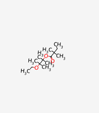 CCOC(C)(C)C(C)(C)OC(=O)C(C)(C)CC